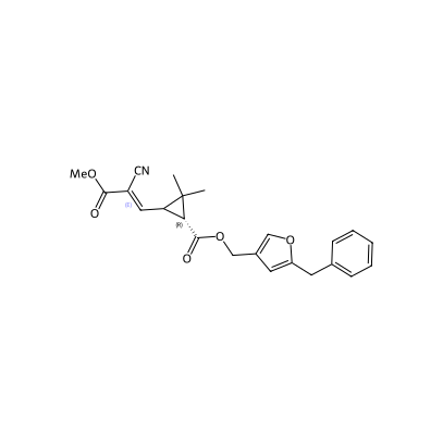 COC(=O)/C(C#N)=C/C1[C@@H](C(=O)OCc2coc(Cc3ccccc3)c2)C1(C)C